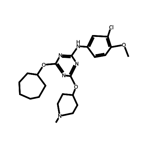 COc1ccc(Nc2nc(OC3CCCCCC3)nc(OC3CCN(C)CC3)n2)cc1Cl